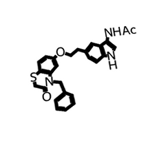 CC(=O)Nc1c[nH]c2ccc(CCOc3ccc4c(c3)N(Cc3ccccc3)C(=O)CS4)cc12